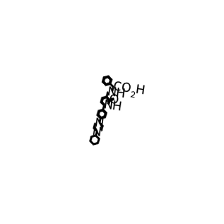 O=C(O)C(NCc1ccc(-c2ccc(N3CCN(C4CCCCC4)CC3)cc2)[nH]c1=O)c1ccccc1